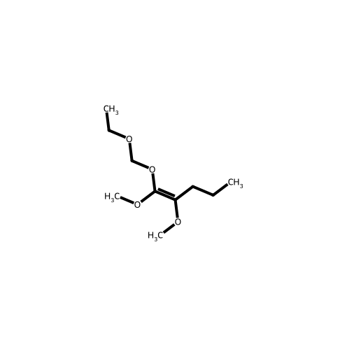 CCCC(OC)=C(OC)OCOCC